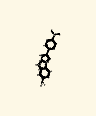 CN(C)c1ccc(-c2cn3c(n2)sc2cc(C(F)(F)F)ccc23)cc1